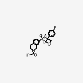 CC(C)C(=O)N1CCc2ccc(S(=O)(=O)N(C)C3(c4ccc(F)cc4)COC3)cc2C1